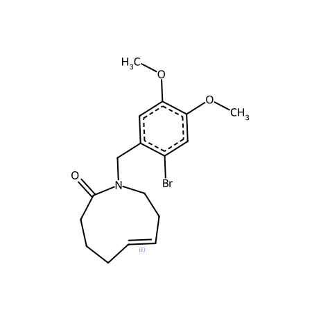 COc1cc(Br)c(CN2CC/C=C/CCCC2=O)cc1OC